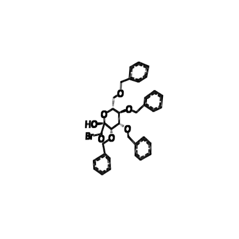 O=C(Br)[C@]1(O)O[C@H](COCc2ccccc2)[C@@H](OCc2ccccc2)[C@H](OCc2ccccc2)[C@@H]1OCc1ccccc1